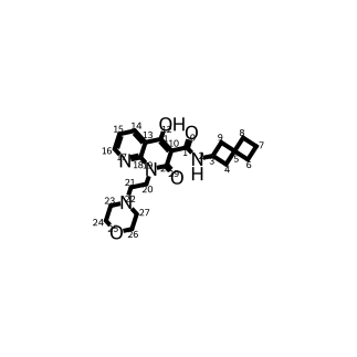 O=C(NC1CC2(CCC2)C1)c1c(O)c2cccnc2n(CCN2CCOCC2)c1=O